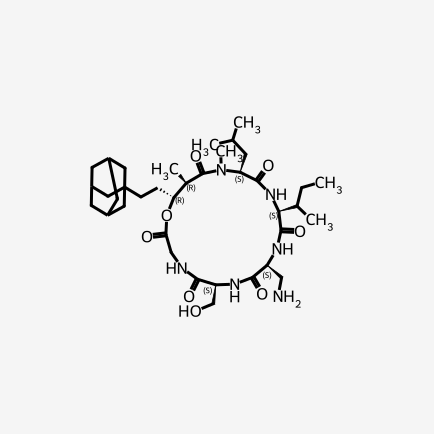 CCC(C)[C@@H]1NC(=O)[C@H](CC(C)C)N(C)C(=O)[C@H](C)[C@@H](CCC23CC4CC(CC(C4)C2)C3)OC(=O)CNC(=O)[C@H](CO)NC(=O)[C@H](CN)NC1=O